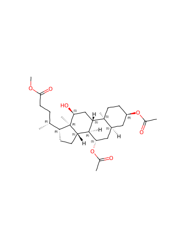 COC(=O)CC[C@@H](C)[C@H]1CC[C@H]2[C@@H]3[C@@H](OC(C)=O)C[C@@H]4C[C@H](OC(C)=O)CC[C@]4(C)[C@H]3C[C@H](O)[C@]12C